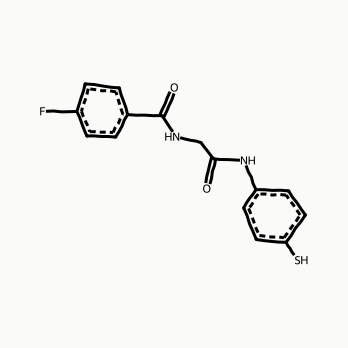 O=C(CNC(=O)c1ccc(F)cc1)Nc1ccc(S)cc1